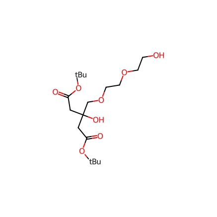 CC(C)(C)OC(=O)CC(O)(COCCOCCO)CC(=O)OC(C)(C)C